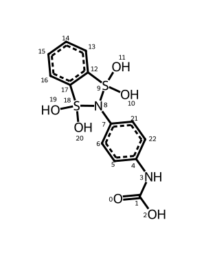 O=C(O)Nc1ccc(N2S(O)(O)c3ccccc3S2(O)O)cc1